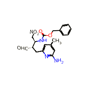 Cc1cc(N)nc(C[C@H](C=O)[C@@H](C[N+](=O)[O-])NC(=O)OCc2ccccc2)c1